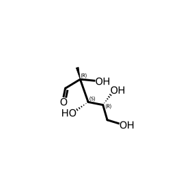 C[C@](O)(C=O)[C@@H](O)[C@H](O)CO